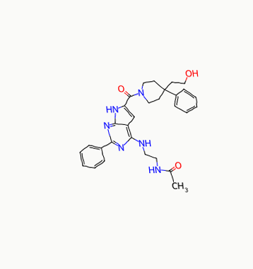 CC(=O)NCCNc1nc(-c2ccccc2)nc2[nH]c(C(=O)N3CCC(CCO)(c4ccccc4)CC3)cc12